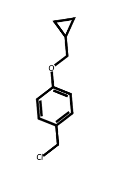 ClCc1ccc(OCC2CC2)cc1